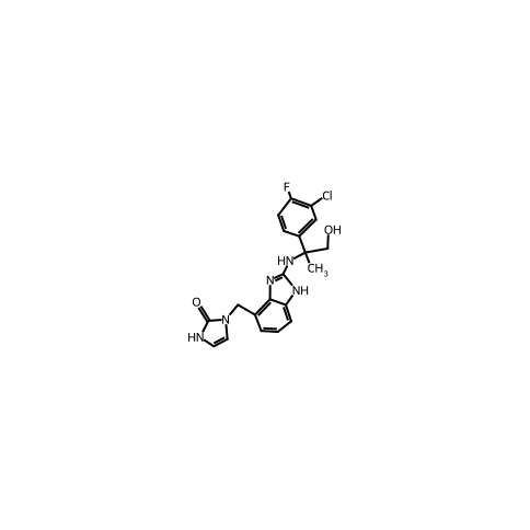 CC(CO)(Nc1nc2c(Cn3cc[nH]c3=O)cccc2[nH]1)c1ccc(F)c(Cl)c1